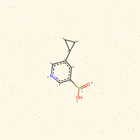 O=S(O)c1cncc(C2CC2)c1